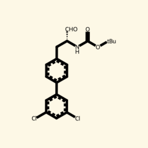 CC(C)(C)OC(=O)N[C@@H](C=O)Cc1ccc(-c2cc(Cl)cc(Cl)c2)cc1